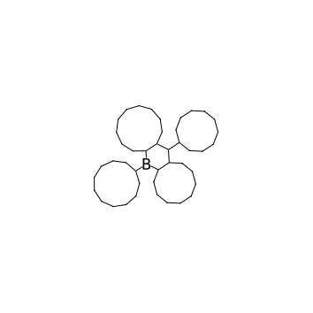 C1CCCCCC(B2C3CCCCCCCCCC3C(C3CCCCCCCCC3)C3CCCCCCCCC23)CCCC1